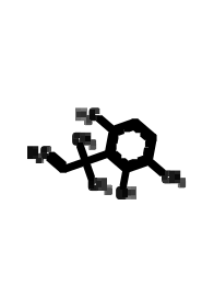 C=CC(C)(C)c1c(C)ccc(C)c1O